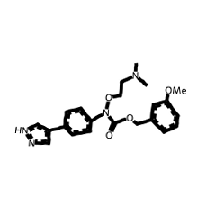 COc1cccc(COC(=O)N(OCCN(C)C)c2ccc(-c3cn[nH]c3)cc2)c1